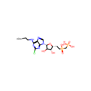 CCCCCCCCCCCCNc1nc(Cl)nc2c1ncn2[C@@H]1O[C@H](CCP(=O)(O)CP(=O)(O)O)[C@H](O)C1O